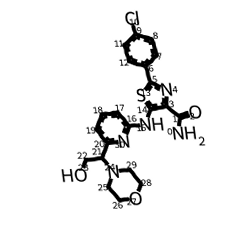 NC(=O)c1nc(-c2ccc(Cl)cc2)sc1Nc1cccc(C(CO)N2CCOCC2)n1